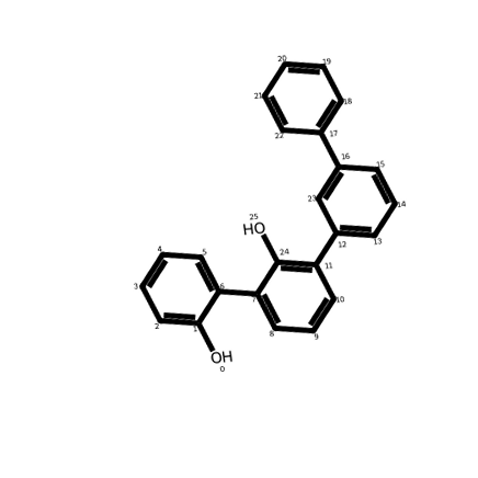 Oc1ccccc1-c1cccc(-c2cccc(-c3ccccc3)c2)c1O